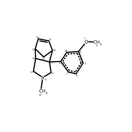 COc1cccc(C23CN(C)CC2C2C=CC3C2)c1